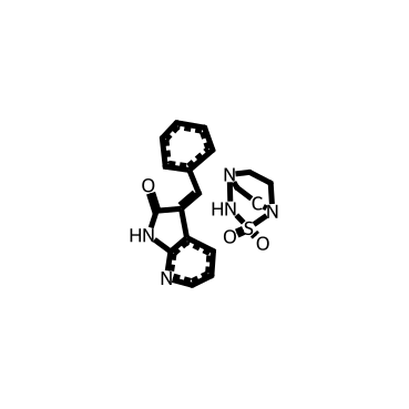 O=C1Nc2ncccc2C1=Cc1ccccc1.O=S1(=O)NN2CCN1CC2